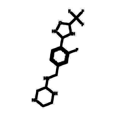 Fc1cc(CNC2CNCCN2)ccc1C1NOC(C(F)(F)F)N1